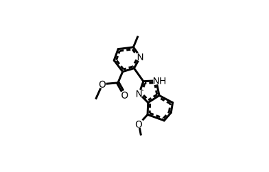 COC(=O)c1ccc(C)nc1-c1nc2c(OC)cccc2[nH]1